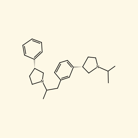 CC(C)N1CC[C@@H](c2cccc(CC(C)N3CC[C@H](c4ccccc4)C3)c2)C1